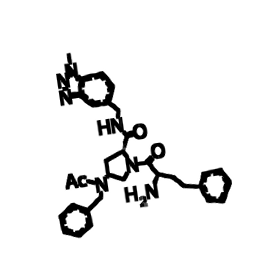 CC(=O)N(Cc1ccccc1)[C@H]1C[C@@H](C(=O)NCc2ccc3c(c2)nnn3C)N(C(=O)[C@H](N)CCc2ccccc2)C1